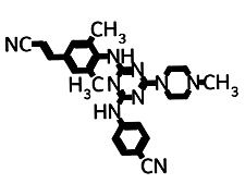 Cc1cc(C=CC#N)cc(C)c1Nc1nc(Nc2ccc(C#N)cc2)nc(N2CCN(C)CC2)n1